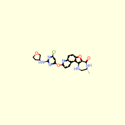 C[C@@H]1CNc2c(oc3ccc4nc(Oc5cc(Cl)nc(NC6CCOC6)n5)ccc4c23)C(=O)N1